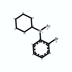 CC(=O)N(c1ccccc1Br)C1CCCCC1